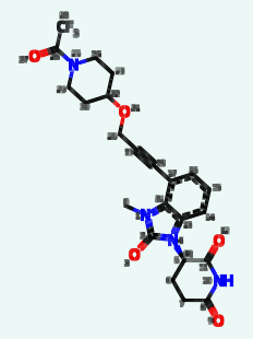 Cn1c(=O)n([C@@H]2CCC(=O)NC2=O)c2cccc(C#CCOC3CCN(C(=O)C(F)(F)F)CC3)c21